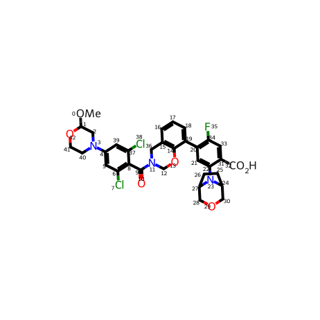 COC1CN(c2cc(Cl)c(C(=O)N3COc4c(cccc4-c4cc(N5C6CCC5COC6)c(C(=O)O)cc4F)C3)c(Cl)c2)CCO1